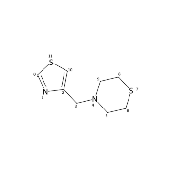 [c]1nc(CN2CCSCC2)cs1